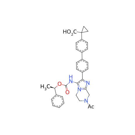 CC(=O)N1CCn2c(nc(-c3ccc(-c4ccc(C5(C(=O)O)CC5)cc4)cc3)c2NC(=O)O[C@H](C)c2ccccc2)C1